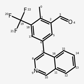 Cc1c(C=O)cc(-c2cncc3ccccc23)cc1C(F)(F)F